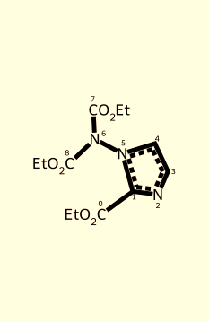 CCOC(=O)c1nccn1N(C(=O)OCC)C(=O)OCC